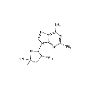 CC1(N)CC(P)C(n2cnc3c(N)nc(P)nc32)O1